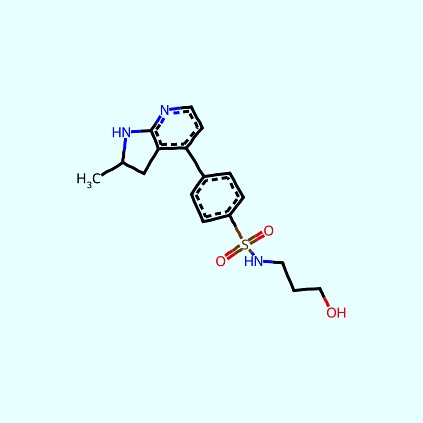 CC1Cc2c(-c3ccc(S(=O)(=O)NCCCO)cc3)ccnc2N1